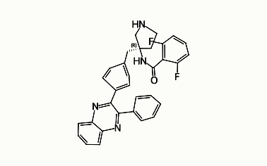 O=C(N[C@]1(Cc2ccc(-c3nc4ccccc4nc3-c3ccccc3)cc2)CCNC1)c1c(F)cccc1F